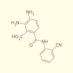 N#Cc1ccccc1NC(=O)c1ccc(N)c(N)c1C(=O)O